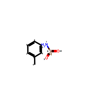 Cc1ccccc1.N[SH](=O)=O